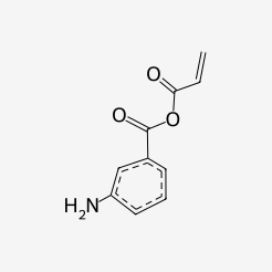 C=CC(=O)OC(=O)c1cccc(N)c1